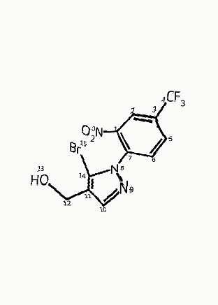 O=[N+]([O-])c1cc(C(F)(F)F)ccc1-n1ncc(CO)c1Br